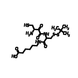 CC(C)(C)SSCC(NC(=O)C(=O)[C@@H](N)CS)C(=O)NCCCCCC(=O)O